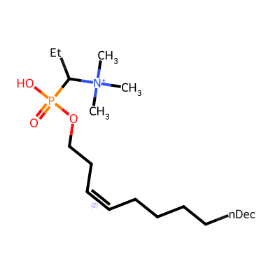 CCCCCCCCCCCCCC/C=C\CCOP(=O)(O)C(CC)[N+](C)(C)C